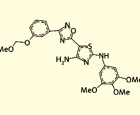 COCOc1cccc(-c2noc(-c3sc(Nc4cc(OC)c(OC)c(OC)c4)nc3N)n2)c1